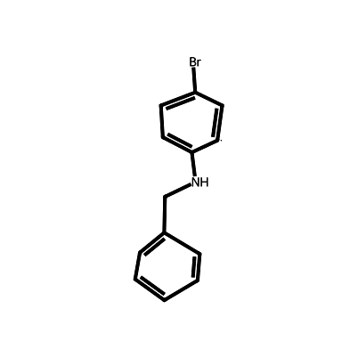 Brc1c[c]c(NCc2ccccc2)cc1